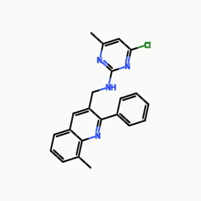 Cc1cc(Cl)nc(NCc2cc3cccc(C)c3nc2-c2ccccc2)n1